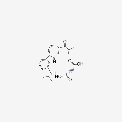 CC(C)Nc1cccc2c3cccc(C(=O)C(C)C)cc-3nc12.O=C(O)/C=C/C(=O)O